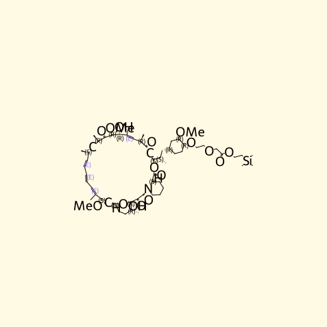 CO[C@H]1C[C@@H]2CC[C@@H](C)[C@@](O)(O2)C(=O)C(=O)N2CCCC[C@H]2C(=O)O[C@H]([C@@H](C)C[C@H]2CC[C@@H](OCCOCC(=O)OCC[Si](C)(C)C)[C@H](OC)C2)CC(=O)[C@H](C)/C=C(\C)[C@@H](O)[C@@H](OC)C(=O)[C@H](C)C[C@H](C)/C=C/C=C/C=C/1C